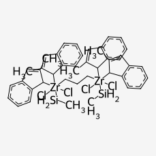 C[SiH2][Zr]([Cl])([Cl])([CH2]C[CH2][Zr]([Cl])([Cl])([SiH2]C)([CH]1C(C)=Cc2ccccc21)[CH]1C(C)=Cc2ccccc21)([CH]1C(C)=Cc2ccccc21)[CH]1C(C)=Cc2ccccc21